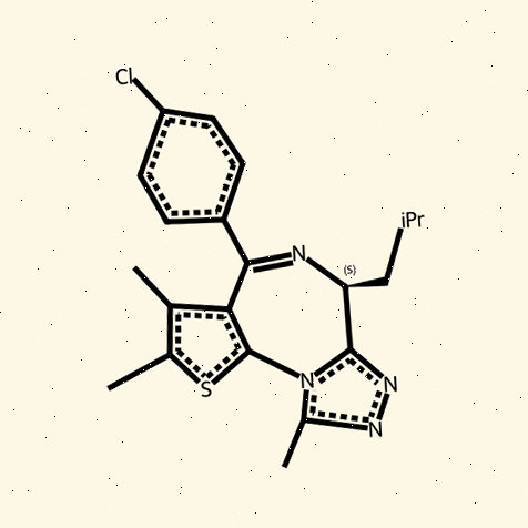 Cc1sc2c(c1C)C(c1ccc(Cl)cc1)=N[C@@H](CC(C)C)c1nnc(C)n1-2